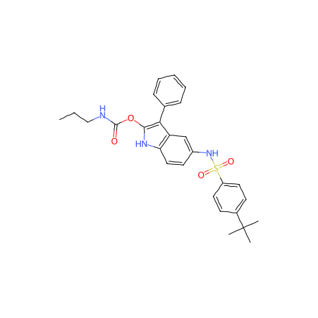 CCCNC(=O)Oc1[nH]c2ccc(NS(=O)(=O)c3ccc(C(C)(C)C)cc3)cc2c1-c1ccccc1